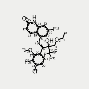 CCOCC(O)(C(=Nc1cc(F)cc2[nH]c(=O)ccc12)c1ccc(Cl)c(F)c1OC)C(F)(F)F